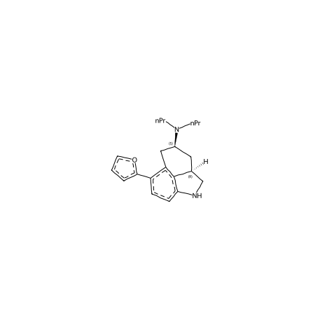 CCCN(CCC)[C@@H]1Cc2c(-c3ccco3)ccc3c2[C@H](CN3)C1